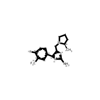 C[C@@H]1CCCN1Cc1sc(N)nc1-c1ccc(F)c(C(F)(F)F)c1